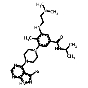 Cc1c(NCCN(C)C)cc(C(=O)NC(C)C)cc1N1CCN(c2ncnc3[nH]nc(Br)c23)CC1